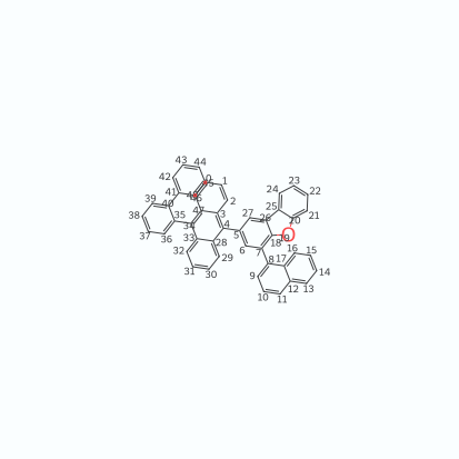 c1ccc2c(-c3cc(-c4cccc5ccccc45)c4oc5ccccc5c4c3)c3ccccc3c(-c3ccccc3C3=CC=CCC3)c2c#1